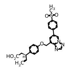 C=C[C@@H](CC(=O)O)c1ccc(OCc2cc(-c3ccc(S(C)(=O)=O)cc3)cn3ncnc23)cc1